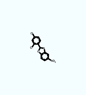 O=[N+]([O-])c1ccc2c(c1)SC(c1ccc(Cl)cc1Cl)O2